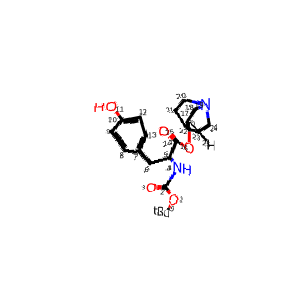 CC(C)(C)OC(=O)NC(Cc1ccc(O)cc1)C(=O)O[C@H]1CN2CCC1CC2